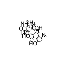 C=Nc1ccc(O)c2c1C(C)[C@@H]1C(=C(O)[C@]3(O)C(=O)C(C(N)=O)=C(O)[C@@H](N(C)C)[C@@H]3[C@H]1O)C2=O